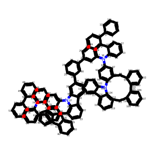 c1ccc(-c2ccccc2-c2ccccc2N(c2cccc(-c3cccc(-c4ccc5c6cccc7c6n(c5c4)-c4ccc(N(c5ccccc5-c5ccccc5)c5ccccc5-c5ccccc5-c5ccccc5)cc4C74c5ccccc5-c5ccccc54)c3)c2)c2ccc3c(c2)Cc2ccccc2-c2ccccc2Cc2cccc4c5ccccc5n-3c24)cc1